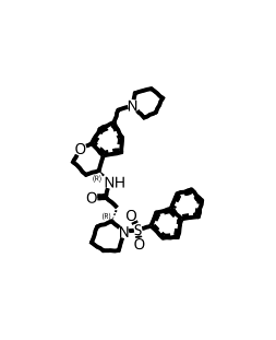 O=C(C[C@H]1CCCCN1S(=O)(=O)c1ccc2ccccc2c1)N[C@@H]1CCOc2cc(CN3CCCCC3)ccc21